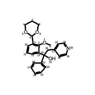 COc1c(C2OCCCO2)cccc1C(O)(Cc1ccncc1)c1ccccc1